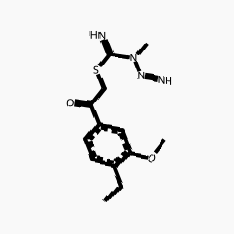 CCc1ccc(C(=O)CSC(=N)N(C)N=N)cc1OC